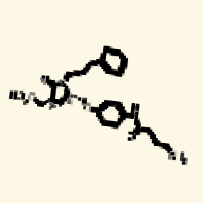 NCCCC(=O)Nc1ccc(OC[C@@H]2C[C@@H](CC(=O)O)C(=O)N2CCCc2ccccc2)cc1